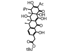 CC(=O)C1=C(O)C(C(C)C)[C@@]2(C)[C@H](O)[C@]3(C)C(=C(O)[C@@]2(O)C1=O)C(=O)c1c(ccc(CC(=O)OC(C)(C)C)c1O)[C@H]3C